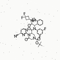 CC(C)(C)OC(=O)N1CC(=O)N(c2nccc(C#N)n2)C(C(=O)N(c2cc(F)cc(F)c2)C(C(=O)NC2CC(F)(F)C2)c2ccccc2Cl)C1